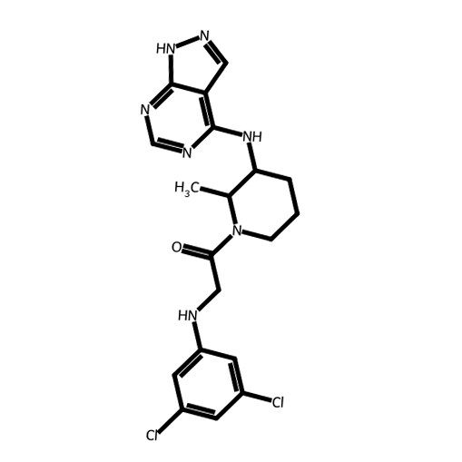 CC1C(Nc2ncnc3[nH]ncc23)CCCN1C(=O)CNc1cc(Cl)cc(Cl)c1